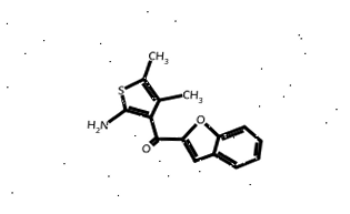 Cc1sc(N)c(C(=O)c2cc3ccccc3o2)c1C